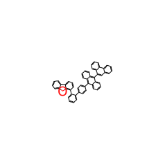 c1ccc(-c2cccc3c2oc2ccccc23)c(-c2ccc(-c3c4ccccc4c(-c4cc5ccccc5c5ccccc45)c4ccccc34)cc2)c1